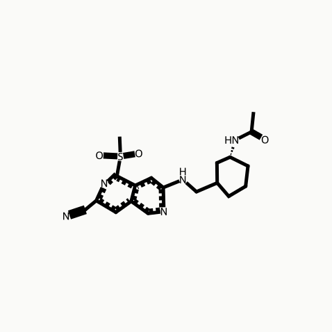 CC(=O)N[C@@H]1CCCC(CNc2cc3c(S(C)(=O)=O)nc(C#N)cc3cn2)C1